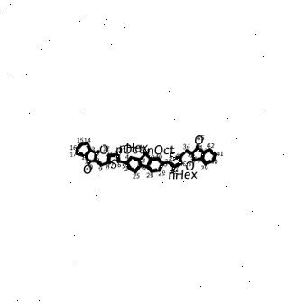 CCCCCCCCC1(CCCCCCCC)c2cc(-c3sc(C=C4C(=O)c5ccccc5C4=O)cc3CCCCCC)ccc2-c2ccc(-c3sc(C=C4C(=O)c5ccccc5C4=O)cc3CCCCCC)cc21